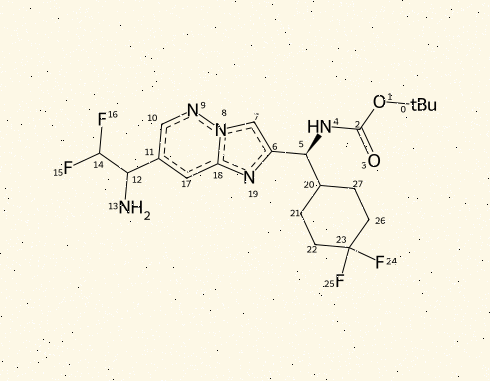 CC(C)(C)OC(=O)N[C@H](c1cn2ncc(C(N)C(F)F)cc2n1)C1CCC(F)(F)CC1